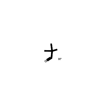 CC(C)(C)C=O.[H+]